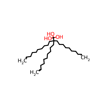 C=CCCCCCCCCC(CCCCCCCCC=C)(CCCCCCCCC=C)C(O)(O)O